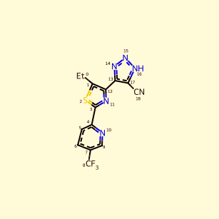 CCc1sc(-c2ccc(C(F)(F)F)cn2)nc1-c1nn[nH]c1C#N